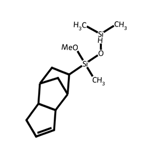 CO[Si](C)(O[SiH](C)C)C1CC2CC1C1C=CCC21